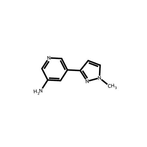 Cn1ccc(-c2cncc(N)c2)n1